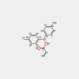 C=CC(=O)OC(c1ccc(C)cc1)c1ccc(C)cc1